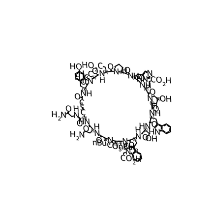 CCCC[C@H]1C(=O)N(C)[C@@H](CCCC)C(=O)N[C@@H](CCN)C(=O)N[C@H](C(=O)NCC(N)=O)CSCC(=O)N[C@@H](Cc2ccc(O)cc2)C(=O)N(C)[C@@H](C)C(=O)N[C@@H](CC(=O)O)C(=O)N2CCC[C@H]2C(=O)N[C@@H](Cc2cnc[nH]2)C(=O)N[C@@H](CCC(=O)O)C(=O)N2C[C@H](O)C[C@H]2C(=O)N[C@@H](Cc2c[nH]c3ccccc23)C(=O)N[C@@H](CO)C(=O)N[C@@H](Cc2cn(CC(=O)O)c3ccccc23)C(=O)N1C